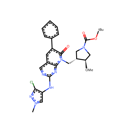 CO[C@@H]1CN(C(=O)OC(C)(C)C)C[C@H]1Cn1c(=O)c(-c2ccccc2)cc2cnc(Nc3cn(C)nc3Cl)nc21